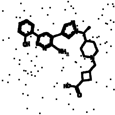 C[C@@H](C1CCN(CC2CC(C(=O)O)C2)CC1)n1cc(-c2cc(-c3ccccc3O)nnc2N)cn1